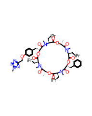 CC(C)C[C@H]1C(=O)O[C@H](Cc2ccc(OCc3nnn(C)n3)cc2)C(=O)N(C)[C@@H](CC(C)C)C(=O)O[C@H](C)C(=O)N(C)[C@@H](CC(C)C)C(=O)O[C@H](Cc2ccccc2)C(=O)N(C)[C@@H](CC(C)C)C(=O)O[C@H](C)C(=O)N1C